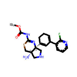 CC(C)(C)OC(=O)NC1=N[C@@]2(C3=CC(c4cccnc4F)=CCC3)CNC[C@@]2(N)CS1